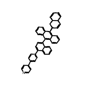 C1=CC2C=CC(c3c4ccccc4c(-c4ccc(-c5ccc(-c6ccncc6)cc5)c5ccccc45)c4ccccc34)CC2C=C1